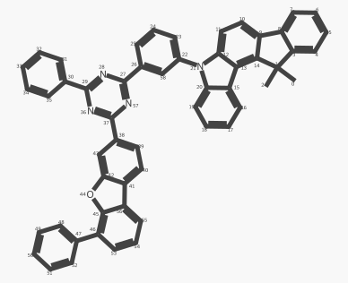 CC1(C)c2ccccc2-c2ccc3c(c21)c1ccccc1n3-c1cccc(-c2nc(-c3ccccc3)nc(-c3ccc4c(c3)oc3c(-c5ccccc5)cccc34)n2)c1